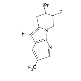 CC(C)C1Cc2c(F)c3cc(C(F)(F)F)cnc3n2CC1F